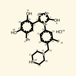 CC(C)c1cc(-c2nnc(O)n2-c2ccc(CN3CCNCC3)c(F)c2)c(O)cc1O.Cl